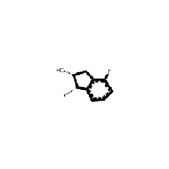 C[C@H]1c2cccc(F)c2C[C@H]1O